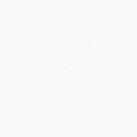 CC(=O)N1CCC(Nc2cccc3c(NCC(O)CN4CCc5ccccc5C4)n[nH]c23)CC1.O=CO